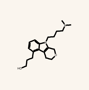 CN(C)CCCCn1c2c(c3c(CCCO)cccc31)CCOC2